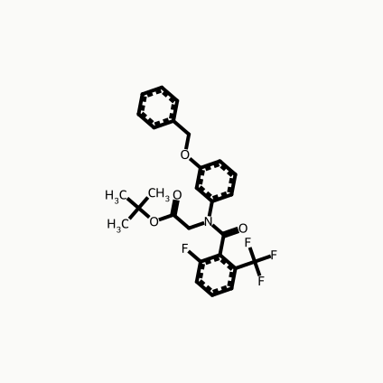 CC(C)(C)OC(=O)CN(C(=O)c1c(F)cccc1C(F)(F)F)c1cccc(OCc2ccccc2)c1